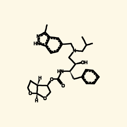 Cc1n[nH]c2ccc(CN(CC(C)C)C[C@@H](O)[C@H](Cc3ccccc3)NC(=O)O[C@H]3CO[C@H]4OCC[C@H]43)cc12